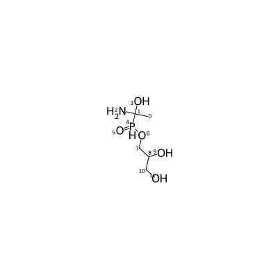 CC(N)(O)[PH](=O)OCC(O)CO